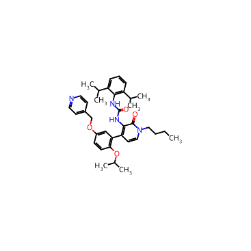 CCCCn1ccc(-c2cc(OCc3ccncc3)ccc2OC(C)C)c(NC(=O)Nc2c(C(C)C)cccc2C(C)C)c1=O